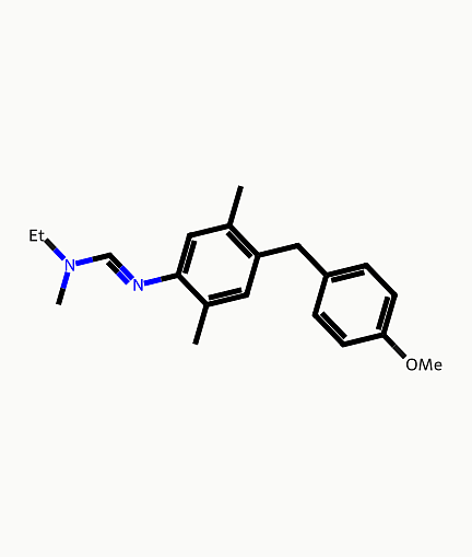 CCN(C)C=Nc1cc(C)c(Cc2ccc(OC)cc2)cc1C